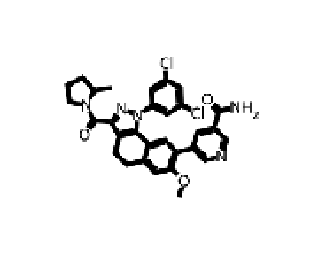 COc1cc2c(cc1-c1cncc(C(N)=O)c1)-c1c(c(C(=O)N3CCCC3C)nn1-c1cc(Cl)cc(Cl)c1)CC2